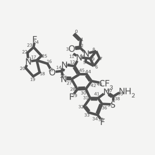 C=CC(=O)N1CC2CC1C2N(C)c1nc(OCC23CCCN2CC(F)C3)nc2c(F)c(-c3ccc(F)c4sc(N)nc34)c(C(F)(F)F)cc12